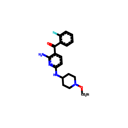 CCOC(=O)ON1CCC(Nc2ccc(C(=O)c3ccccc3F)c(N)n2)CC1